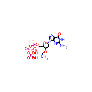 NCOC1CC(n2cnc3c(=O)[nH]c(N)nc32)OC1COP(=O)(O)OP(=O)(O)OP(=O)(O)O